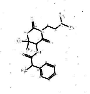 CC(C(=O)NC1C(=O)N(CCN(C)C)C(=S)SC1(C)C)c1ccccc1